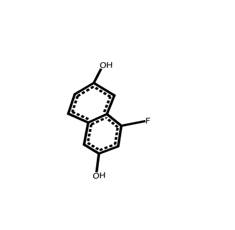 Oc1cc(F)c2cc(O)ccc2c1